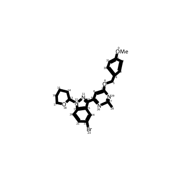 COc1ccc(COc2cc(-c3nn(C4CCCCO4)c4ccc(Br)cc34)nc(C)n2)cc1